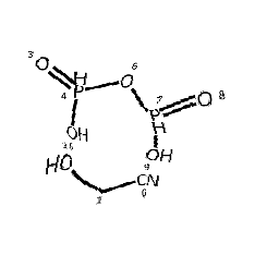 N#CCO.O=[PH](O)O[PH](=O)O